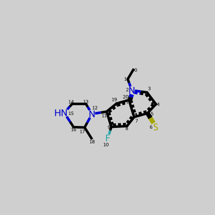 CCn1ccc(=S)c2cc(F)c(N3CCNCC3C)cc21